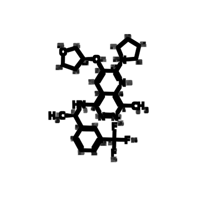 Cc1nnc(N[C@H](C)c2cccc(C(F)(F)F)c2)c2cc(O[C@H]3CCOC3)c(N3CCCC3)nc12